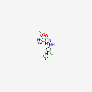 C=CCN1c2ncccc2-c2nc(Nc3ccc(N4CCN(C)CC4)c(Cl)c3)ncc2S1(=O)=O